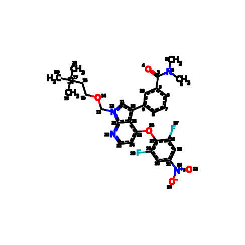 CN(C)C(=O)c1cccc(-c2cn(COCC[Si](C)(C)C)c3nccc(Oc4c(F)cc([N+](=O)[O-])cc4F)c23)c1